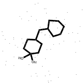 OC1(O)CCC(CC2CCCCC2)CC1